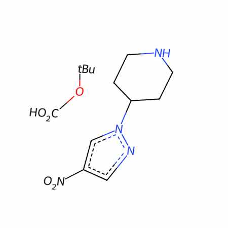 CC(C)(C)OC(=O)O.O=[N+]([O-])c1cnn(C2CCNCC2)c1